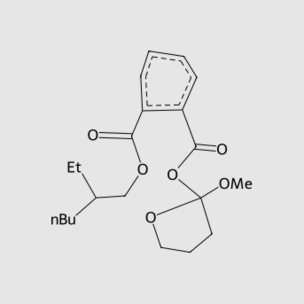 CCCCC(CC)COC(=O)c1ccccc1C(=O)OC1(OC)CCCO1